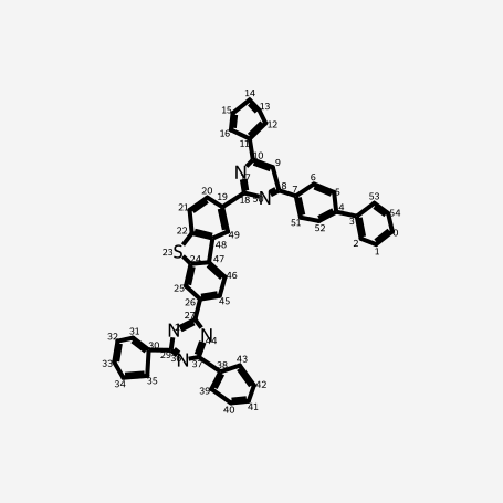 c1ccc(-c2ccc(-c3cc(-c4ccccc4)nc(-c4ccc5sc6cc(-c7nc(-c8ccccc8)nc(-c8ccccc8)n7)ccc6c5c4)n3)cc2)cc1